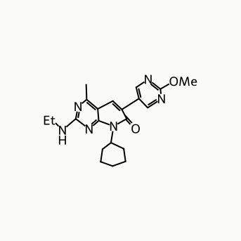 CCNc1nc(C)c2cc(-c3cnc(OC)nc3)c(=O)n(C3CCCCC3)c2n1